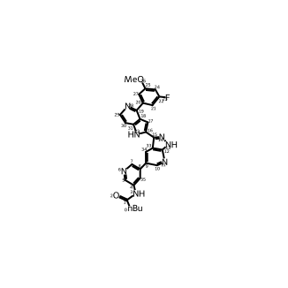 CCCCC(=O)Nc1cncc(-c2cnc3[nH]nc(-c4cc5c(-c6cc(F)cc(OC)c6)nccc5[nH]4)c3c2)c1